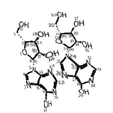 OC[C@H]1O[C@@H](n2cnc3c(O)ncnc32)[C@H](O)[C@@H]1O.OC[C@H]1O[C@@H](n2cnc3c(O)ncnc32)[C@H](O)[C@@H]1O